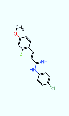 COc1ccc(/C=C/C(=N)Nc2ccc(Cl)cc2)c(F)c1